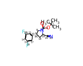 CC(C)(C)OC(=O)N1C[C@@H](c2cc(F)cc(F)c2)CC1C#N